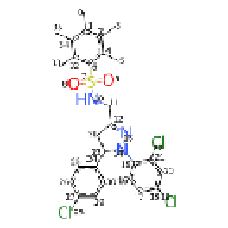 Cc1c(C)c(C)c(S(=O)(=O)NCC2=NN(c3ccc(Cl)cc3Cl)C(c3ccc(Cl)cc3)C2)c(C)c1C